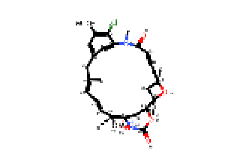 COc1cc2cc(c1Cl)N(C)C(=O)/C=C/[C@@]1(C)CC(C)(O1)[C@@H]1C[C@@](O)(NC(=O)O1)[C@H](OC)/C=C/C=C(\C)C2